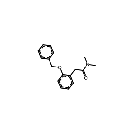 CN(C)C(=O)Cc1ccccc1OCc1ccccc1